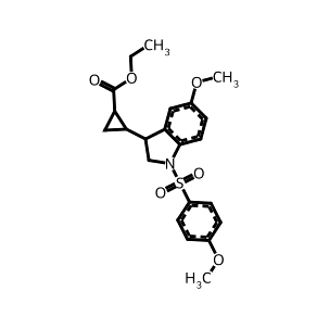 CCOC(=O)C1CC1C1CN(S(=O)(=O)c2ccc(OC)cc2)c2ccc(OC)cc21